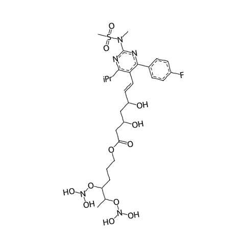 CC(C)c1nc(N(C)S(C)(=O)=O)nc(-c2ccc(F)cc2)c1/C=C/C(O)CC(O)CC(=O)OCCCC(ON(O)O)C(C)ON(O)O